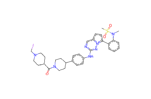 CN(c1ccccc1-c1ccc2cnc(Nc3ccc(C4CCN(C(=O)C5CCN(CI)CC5)CC4)cc3)nn12)S(C)(=O)=O